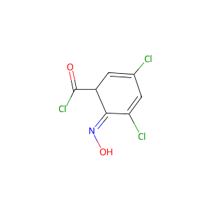 O=C(Cl)C1C=C(Cl)C=C(Cl)C1=NO